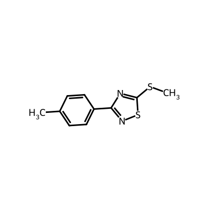 CSc1nc(-c2ccc(C)cc2)ns1